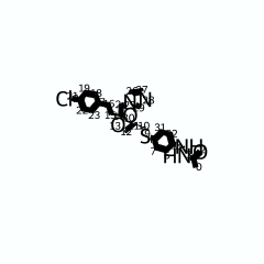 CC(=O)NNc1ccc(SC[C@@H]2CO[C@](CCc3ccc(Cl)cc3)(Cn3ccnc3)O2)cc1